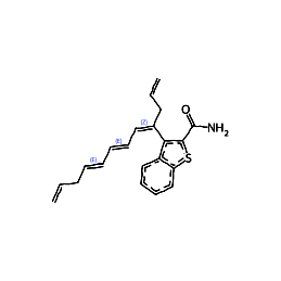 C=CC/C=C/C=C/C=C(/CC=C)c1c(C(N)=O)sc2ccccc12